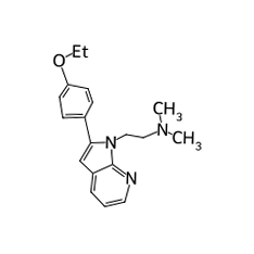 CCOc1ccc(-c2cc3cccnc3n2CCN(C)C)cc1